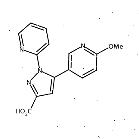 COc1ccc(-c2cc(C(=O)O)nn2-c2ccccn2)cn1